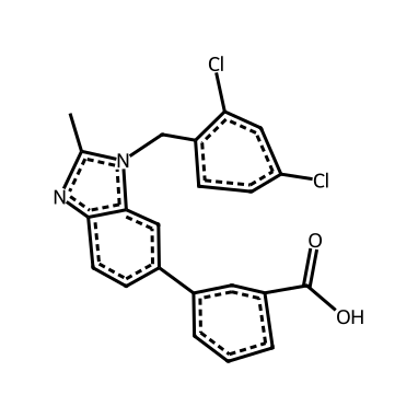 Cc1nc2ccc(-c3cccc(C(=O)O)c3)cc2n1Cc1ccc(Cl)cc1Cl